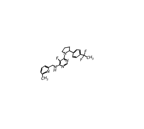 Cc1cccc(CNc2ncnc(N3CCCC3c3ccc(C(C)(F)F)cc3)c2F)n1